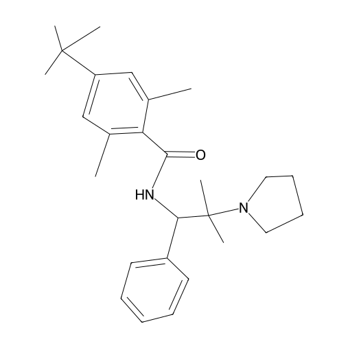 Cc1cc(C(C)(C)C)cc(C)c1C(=O)NC(c1ccccc1)C(C)(C)N1CCCC1